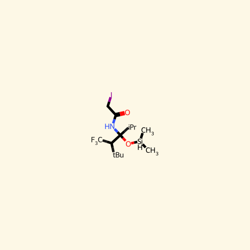 CC(C)C(NC(=O)CI)(O[SiH](C)C)C(C(C)(C)C)C(F)(F)F